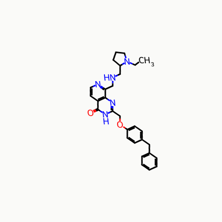 CCN1CCCC1CNCc1nccc2c(=O)[nH]c(COc3ccc(Cc4ccccc4)cc3)nc12